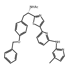 CC(=O)N[C@@H](Cc1ccc(OCc2ccccc2)cc1)c1ncc(-c2cccc(Nc3cc(C)ccn3)n2)s1